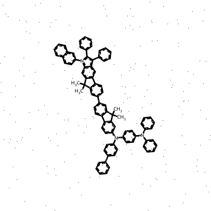 CC1(C)c2cc(-c3ccc4c(c3)C(C)(C)c3cc5c(cc3-4)c(-c3ccccc3)c(-c3ccccc3)n5-c3ccc4ccccc4c3)ccc2-c2ccc(N(c3ccc(-c4ccccc4)cc3)c3ccc(N(c4ccccc4)c4ccccc4)cc3)cc21